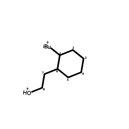 CCC(C)C1CCCCC1CCO